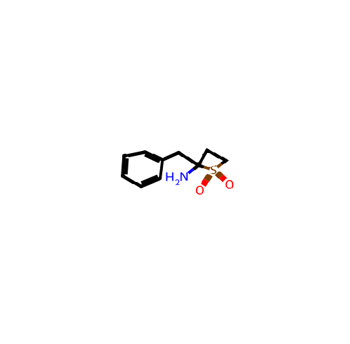 NC1(Cc2ccccc2)CCS1(=O)=O